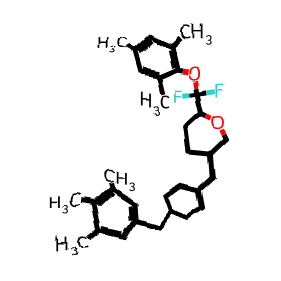 Cc1cc(C)c(OC(F)(F)C2CCC(CC3CCC(Cc4cc(C)c(C)c(C)c4)CC3)CO2)c(C)c1